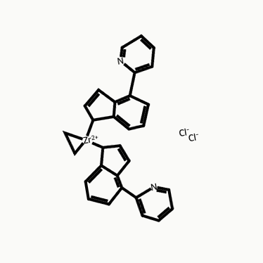 C1=C[CH]([Zr+2]2([CH]3C=Cc4c(-c5ccccn5)cccc43)[CH2][CH2]2)c2cccc(-c3ccccn3)c21.[Cl-].[Cl-]